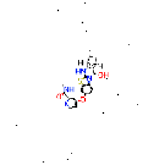 CNC(=O)c1cc(Oc2ccc3nc(N[C@H]4[C@H]5CC[C@H](C5)[C@H]4CO)sc3c2)ccn1